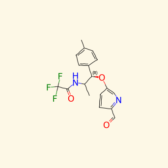 Cc1ccc([C@@H](Oc2ccc(C=O)nc2)C(C)NC(=O)C(F)(F)F)cc1